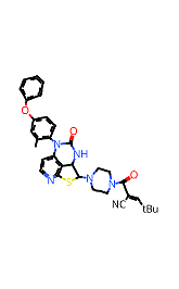 Cc1cc(Oc2ccccc2)ccc1N1C(=O)NC2c3c1ccnc3SC2N1CCN(C(=O)/C(C#N)=C/C(C)(C)C)CC1